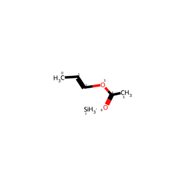 CC=COC(C)=O.[SiH3]